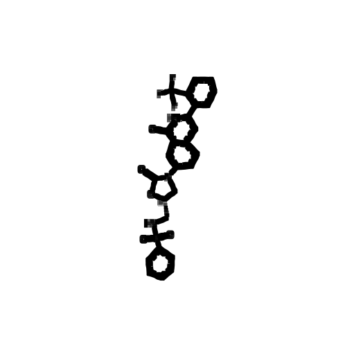 O=C1O[C@@H](CNS(=O)(=O)c2ccccc2)CN1c1ccc2cc(-c3ccccc3C(F)(F)F)[nH]c(=O)c2c1